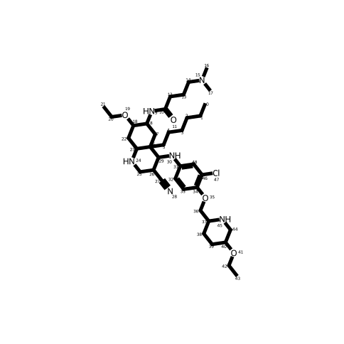 CCCCCCC12CC(NC(=O)CCCN(C)C)C(OCC)CC1NCC(C#N)C2Nc1ccc(OCC2CCC(OCC)CN2)c(Cl)c1